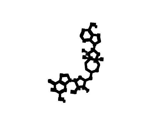 Nc1nc2c(ncn2[C@@H]2OC(OC3CC[C@H]4[C@H](F)[C@H](n5cnc6c(N)ncnc65)O[C@@H]4CO3)[C@@H](F)[C@H]2O)c(=O)[nH]1